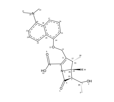 C[C@@H](O)[C@H]1C(=O)N2C(C(=O)O)=C(COc3cccc4c(N(C)C)cccc34)[C@H](C)[C@H]12